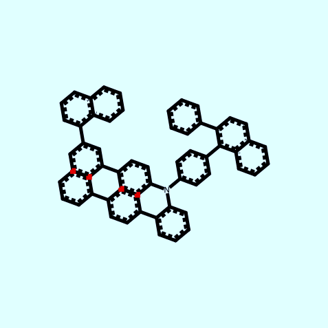 c1ccc(-c2ccc(-c3ccccc3N(c3ccc(-c4cccc(-c5cccc6ccccc56)c4)cc3)c3ccc(-c4c(-c5ccccc5)ccc5ccccc45)cc3)cc2)cc1